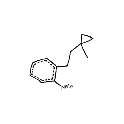 CNc1ccccc1CCC1(C)CC1